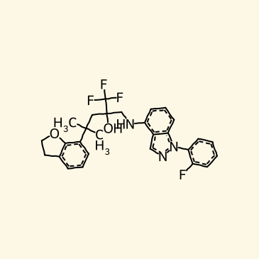 CC(C)(CC(O)(CNc1cccc2c1cnn2-c1ccccc1F)C(F)(F)F)c1cccc2c1OCC2